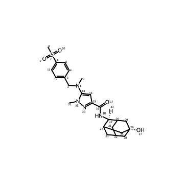 CN(Cc1ccc(S(C)(=O)=O)cc1)c1cc(C(=O)N[C@H]2C3CC4CC2C[C@](O)(C4)C3)nn1C